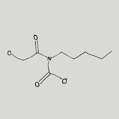 CCCCCN(C(=O)Cl)C(=O)CCl